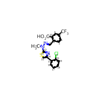 CN(/N=C/c1ccc(C(F)(F)F)cc1C(=O)O)c1nc(-c2ccccc2Cl)cs1